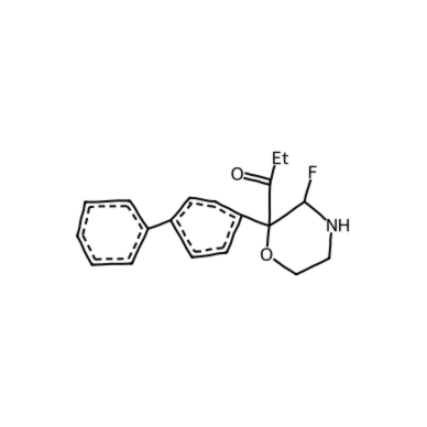 CCC(=O)C1(c2ccc(-c3ccccc3)cc2)OCCNC1F